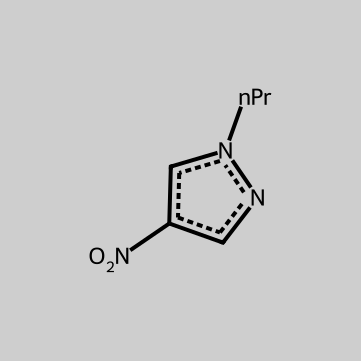 CCCn1cc([N+](=O)[O-])cn1